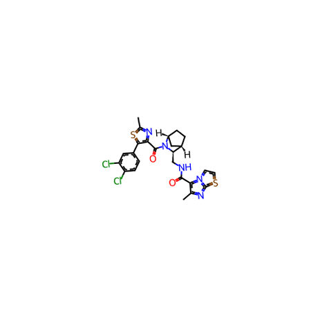 Cc1nc(C(=O)N2[C@@H]3CC[C@@H](C3)[C@H]2CNC(=O)c2c(C)nc3sccn23)c(-c2ccc(Cl)c(Cl)c2)s1